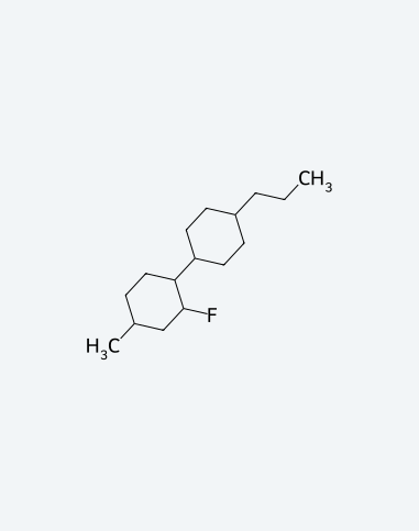 CCCC1CCC(C2CCC(C)CC2F)CC1